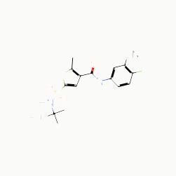 Cc1sc(S(=O)(=O)NC(C)(C)C(F)(F)F)cc1C(=O)Nc1ccc(F)c(C#N)c1